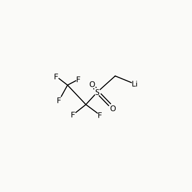 [Li][CH2]S(=O)(=O)C(F)(F)C(F)(F)F